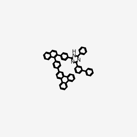 C1=C=C(c2ccc3ccccc3c2-c2ccc(-c3ccc4c5ccccc5c5ccccc5c4c3)cc2)C=CC=1C1=NC(c2cccc(-c3ccccc3)c2)=NC(c2ccccc2)N1